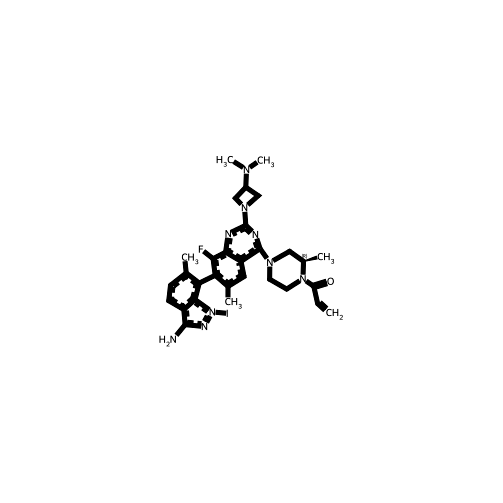 C=CC(=O)N1CCN(c2nc(N3CC(N(C)C)C3)nc3c(F)c(-c4c(C)ccc5c(N)nn(I)c45)c(C)cc23)C[C@H]1C